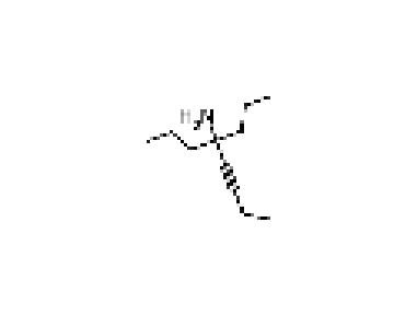 CCC#CC(N)(CCC)CCC